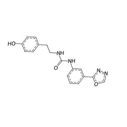 O=C(NCCc1ccc(O)cc1)Nc1cccc(-c2nnco2)c1